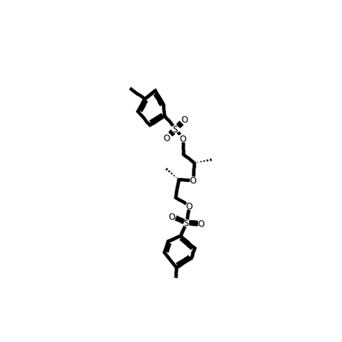 Cc1ccc(S(=O)(=O)OC[C@H](C)O[C@@H](C)COS(=O)(=O)c2ccc(C)cc2)cc1